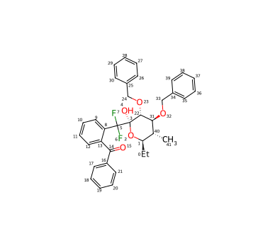 CC[C@H]1O[C@@](O)(C(F)(F)c2ccccc2C(=O)c2ccccc2)[C@H](OCc2ccccc2)[C@@H](OCc2ccccc2)[C@@H]1C